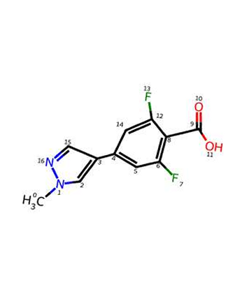 Cn1cc(-c2cc(F)c(C(=O)O)c(F)c2)cn1